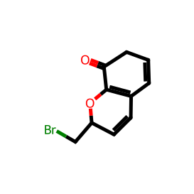 O=C1CC=CC2=C1OC(CBr)C=C2